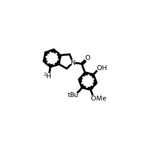 [2H]c1cccc2c1CN(C(=O)c1cc(C(C)(C)C)c(OC)cc1O)C2